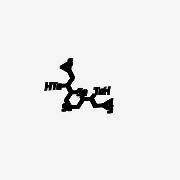 [TeH]C(CC1CS1)C1C[Se]CC(C([TeH])CC2CS2)[Se]1